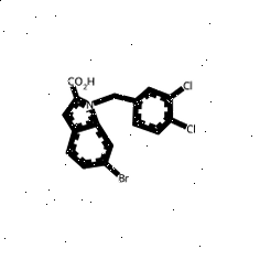 O=C(O)c1cc2ccc(Br)cc2n1Cc1ccc(Cl)c(Cl)c1